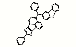 c1ccc(-c2nc3c(o2)-c2cccc4c(N(c5ccccc5)c5ccc6sc7ccccc7c6c5)ccc-3c24)cc1